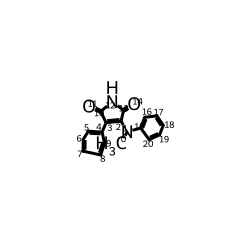 CN(C1=C(c2ccccc2)C(=O)NC1=O)c1ccccc1